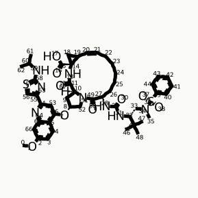 COc1ccc2c(O[C@@H]3C[C@H]4C(=O)N[C@]5(C(=O)O)CC5/C=C\CCCCC[C@H](NC(=O)N[C@H](CN(C)S(=O)(=O)c5ccccc5)C(C)(C)C)C(=O)N4C3)cc(-c3csc(NC(C)C)n3)nc2c1